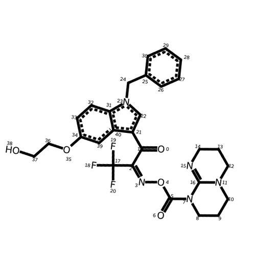 O=C(/C(=N\OC(=O)N1CCCN2CCCN=C21)C(F)(F)F)c1cn(Cc2ccccc2)c2ccc(OCCO)cc12